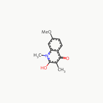 COc1ccc2c(=O)c(C)c(O)n(C)c2c1